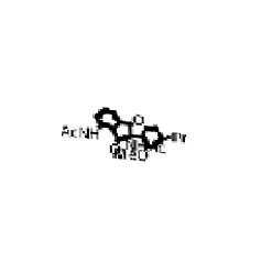 COc1cc(C(C)C)ccc1C1(NC(C)=O)C(=O)c2cccc(NC(C)=O)c2C1=O